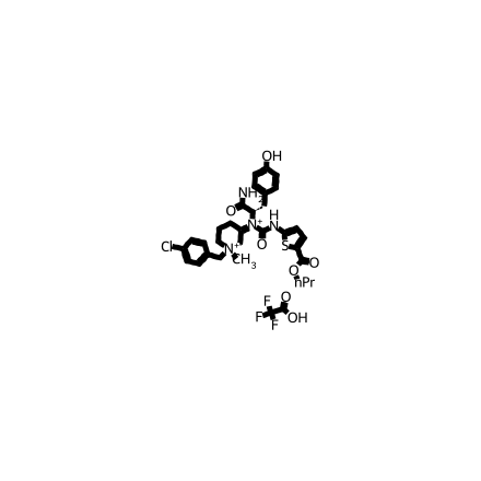 CCCOC(=O)c1ccc(NC(=O)/[N+](=C2/CCC[N+](C)(Cc3ccc(Cl)cc3)C2)[C@@H](Cc2ccc(O)cc2)C(N)=O)s1.O=C(O)C(F)(F)F